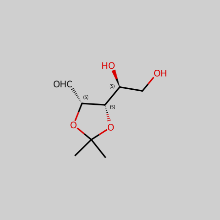 CC1(C)O[C@@H]([C@@H](O)CO)[C@@H](C=O)O1